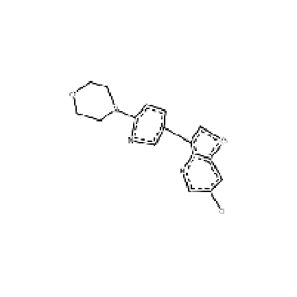 Clc1cnc2c(-c3ccc(N4CCOCC4)nc3)coc2c1